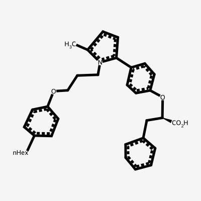 CCCCCCc1ccc(OCCCn2c(C)ccc2-c2ccc(O[C@H](Cc3ccccc3)C(=O)O)cc2)cc1